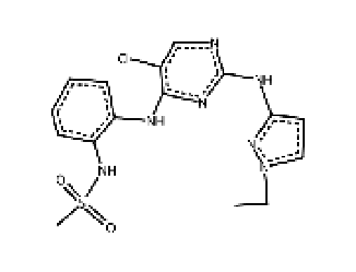 CCn1ccc(Nc2ncc(Cl)c(Nc3ccccc3NS(C)(=O)=O)n2)n1